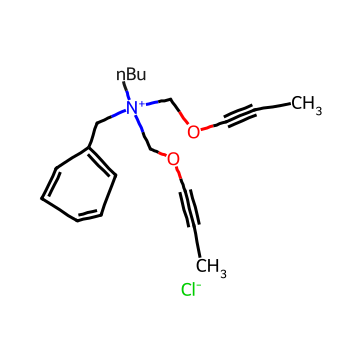 CC#COC[N+](CCCC)(COC#CC)Cc1ccccc1.[Cl-]